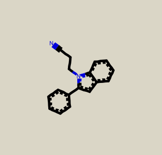 N#CCCn1c(-c2ccccc2)cc2ccccc21